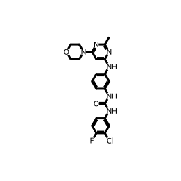 Cc1nc(Nc2cccc(NC(=O)Nc3ccc(F)c(Cl)c3)c2)cc(N2CCOCC2)n1